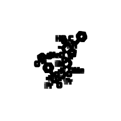 CC[C@H](C)[C@@H](C(CC(=O)N1CCC[C@H]1C(OC)[C@@H](C)C(=O)N[C@@H](Cc1ccccc1)C(=O)O)OC)N(C)C(=O)[C@@H](NC(=O)[C@H](C(C)C)N(C)C(=O)c1ccc(N2C(=O)C=CC2=O)cc1)C(C)C